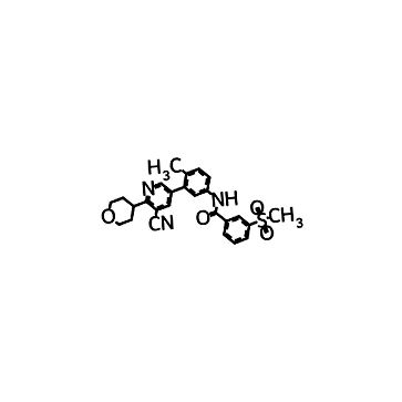 Cc1ccc(NC(=O)c2cccc(S(C)(=O)=O)c2)cc1-c1cnc(C2CCOCC2)c(C#N)c1